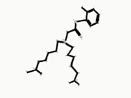 Cc1ccccc1OC(=O)CN(CCCCCC(C)C)CCCCCC(C)C